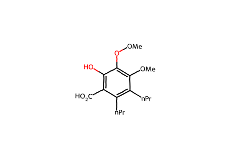 CCCc1c(CCC)c(C(=O)O)c(O)c(OOC)c1OC